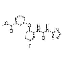 COC(=O)c1cccc(Oc2ccc(F)cc2NC(=O)Nc2nccs2)c1